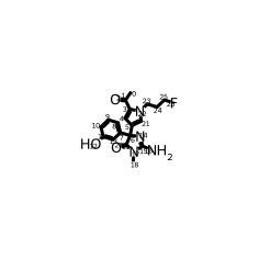 CC(=O)c1cc(C2(c3cccc(O)c3)N=C(N)N(C)C2=O)cn1CCCF